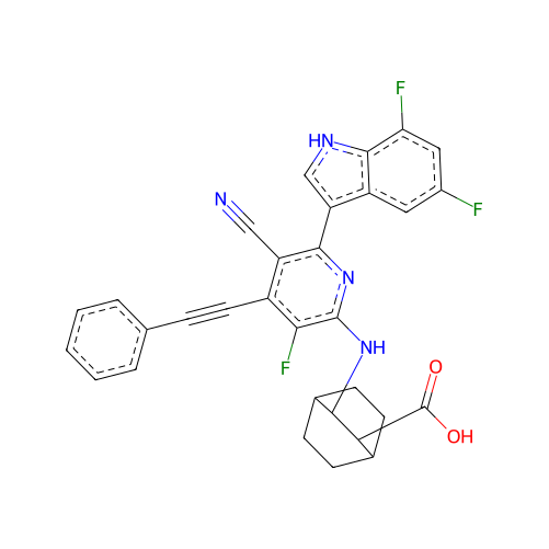 N#Cc1c(-c2c[nH]c3c(F)cc(F)cc23)nc(NC2C3CCC(CC3)C2C(=O)O)c(F)c1C#Cc1ccccc1